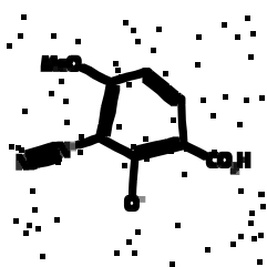 COc1ccc(C(=O)O)c([O-])c1[N+]#N